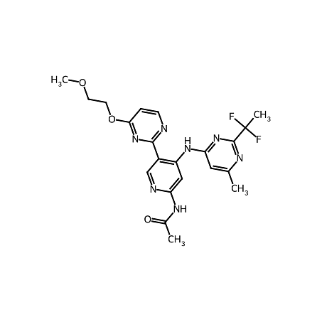 COCCOc1ccnc(-c2cnc(NC(C)=O)cc2Nc2cc(C)nc(C(C)(F)F)n2)n1